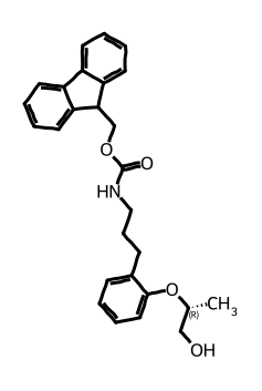 C[C@H](CO)Oc1ccccc1CCCNC(=O)OCC1c2ccccc2-c2ccccc21